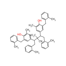 Cc1ccccc1Cc1cc(C(Cc2ccccc2C)C(C#N)(C(=O)O)C(Cc2ccccc2C)c2cc(C)c(O)c(Cc3ccccc3C)c2)cc(C)c1O